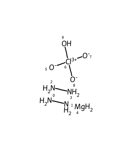 NN.NN.[MgH2].[O-][Cl+3]([O-])([O-])O